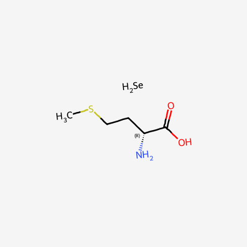 CSCC[C@@H](N)C(=O)O.[SeH2]